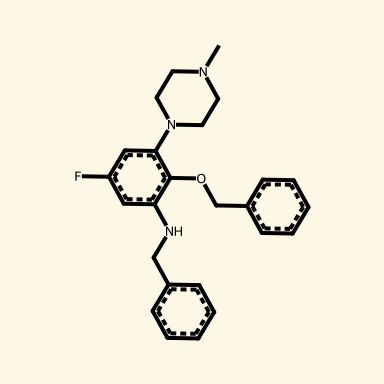 CN1CCN(c2cc(F)cc(NCc3ccccc3)c2OCc2ccccc2)CC1